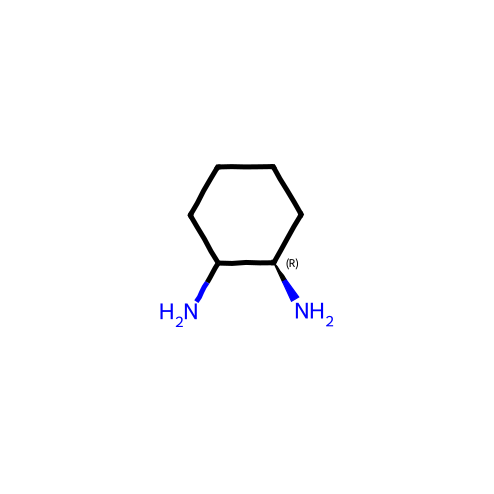 NC1CCCC[C@H]1N